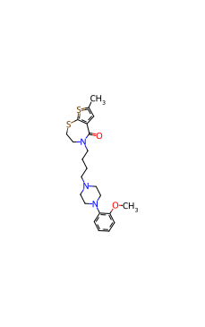 COc1ccccc1N1CCN(CCCCN2CCSc3sc(C)cc3C2=O)CC1